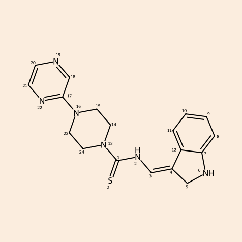 S=C(N/C=C1/CNc2ccccc21)N1CCN(c2cnccn2)CC1